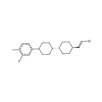 Cc1ccc(C2CCC([C@H]3CC[C@H](/C=C/Cl)CC3)CC2)cc1F